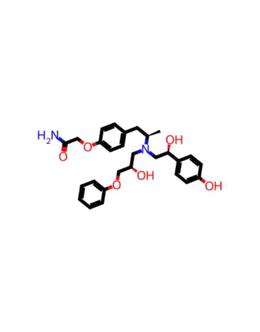 C[C@H](Cc1ccc(OCC(N)=O)cc1)N(C[C@@H](O)COc1ccccc1)C[C@@H](O)c1ccc(O)cc1